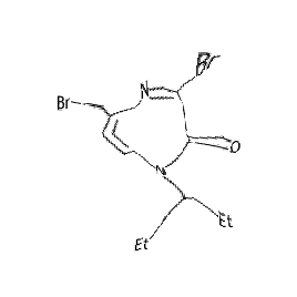 CCC(CC)n1cc(Br)nc(Br)c1=O